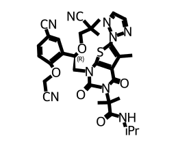 Cc1c(-n2nccn2)sc2c1c(=O)n(C(C)(C)C(=O)NC(C)C)c(=O)n2C[C@H](OCC(C)(C)C#N)c1cc(C#N)ccc1OCC#N